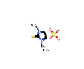 CCCn1ccn(C)c1=S.O=S(=O)([O-])[O-].[Cu+2]